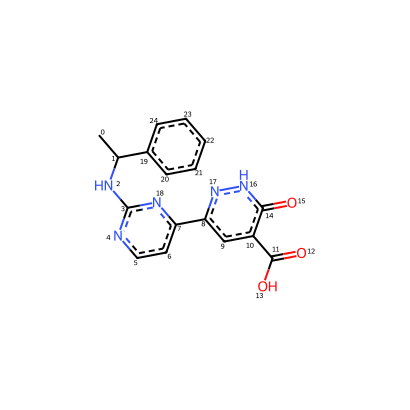 CC(Nc1nccc(-c2cc(C(=O)O)c(=O)[nH]n2)n1)c1ccccc1